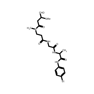 CCc1ccc(NC(=O)C(C)NC(=O)CNC(=O)CCN(C)C(=O)CC(C=O)SC)cc1